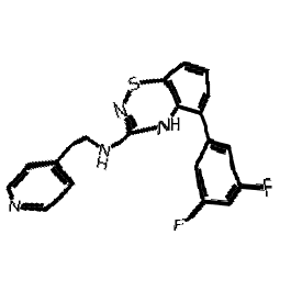 Fc1cc(F)cc(-c2cccc3c2NC(NCc2ccncc2)=NS3)c1